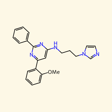 COc1ccccc1-c1cc(NCCCn2ccnc2)nc(-c2ccccc2)n1